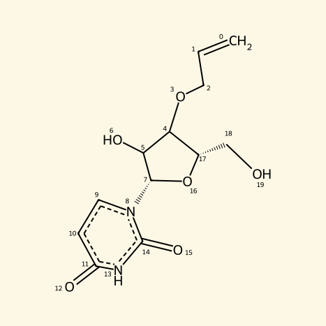 C=CCOC1C(O)[C@@H](n2ccc(=O)[nH]c2=O)O[C@H]1CO